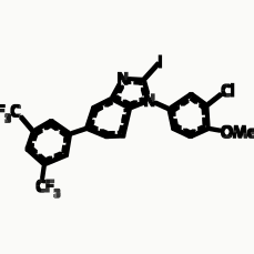 COc1ccc(-n2c(I)nc3cc(-c4cc(C(F)(F)F)cc(C(F)(F)F)c4)ccc32)cc1Cl